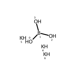 OB(O)O.[KH].[KH].[KH]